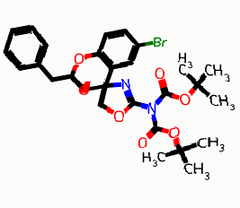 CC(C)(C)OC(=O)N(C(=O)OC(C)(C)C)C1=NC2(CO1)c1cc(Br)ccc1OC(Cc1ccccc1)C21COC1